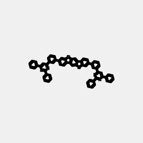 c1ccc(-c2cc(-c3cccc(-c4ccc5c(c4)oc4cc6c(cc45)oc4cc(-c5cccc(-c7cc(-c8ccccc8)nc(-c8ccccc8)n7)c5)ccc46)c3)nc(-c3ccccc3)n2)cc1